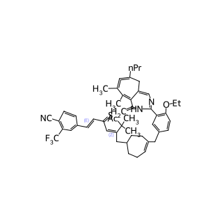 C=C1NC(c2cc(CC3=CCCC(C/C(=C/C(=S)/C=C/c4ccc(C#N)c(C(F)(F)F)c4)C(C)(C)C(C)=O)CC3)ccc2OCC)=NC=C2CC(CCC)=C=C(C)C(C)=C12